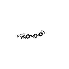 N#CCC(=O)NC1CCC(CCN2CCN(c3ccc4c(c3)OCO4)CC2)CC1